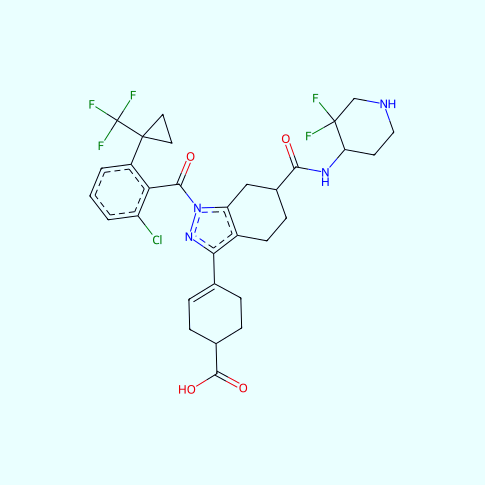 O=C(O)C1CC=C(c2nn(C(=O)c3c(Cl)cccc3C3(C(F)(F)F)CC3)c3c2CCC(C(=O)NC2CCNCC2(F)F)C3)CC1